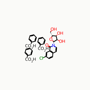 O=C(O)c1ccccc1.O=C(O)c1ccccc1.O=C(O)c1ccccc1.O=c1c2cc(Cl)ccc2ccn1[C@@H]1O[C@H](CO)[C@@H](O)[C@H]1O